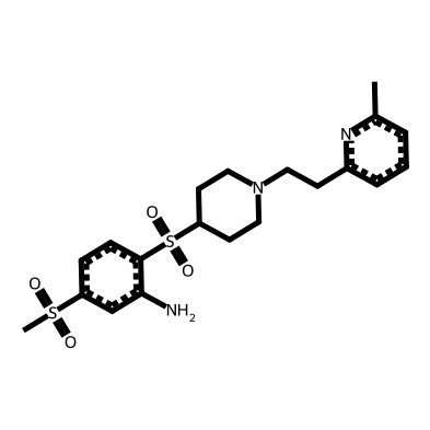 Cc1cccc(CCN2CCC(S(=O)(=O)c3ccc(S(C)(=O)=O)cc3N)CC2)n1